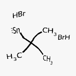 Br.Br.C[C](C)(C)[Sn]